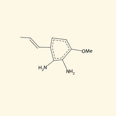 CC=Cc1ccc(OC)c(N)c1N